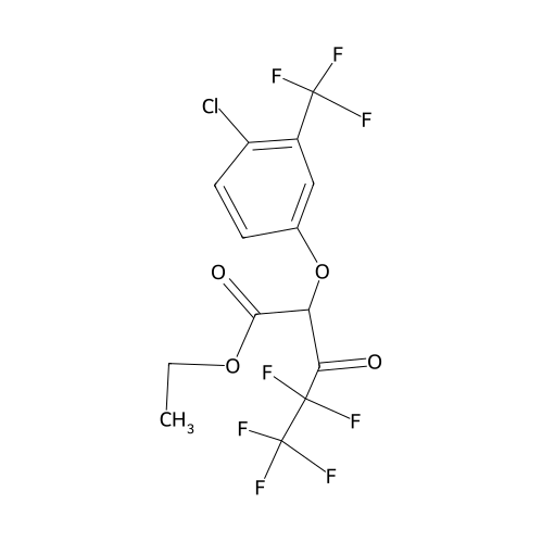 CCOC(=O)C(Oc1ccc(Cl)c(C(F)(F)F)c1)C(=O)C(F)(F)C(F)(F)F